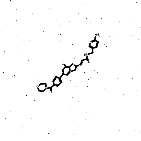 Nc1ccc(CNC(=O)/C=C/C2Cc3cc(-c4ccc(C(=O)N5CCOCC5)cc4)cc(Cl)c3O2)cn1